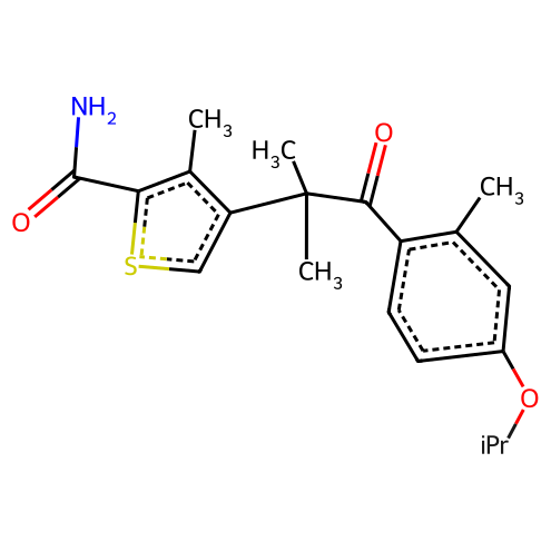 Cc1cc(OC(C)C)ccc1C(=O)C(C)(C)c1csc(C(N)=O)c1C